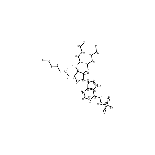 CCCCCOC[C@H]1O[C@@H](n2cnc3c2N=CNC3COS(C)(=O)=O)[C@H](OCCCCC)[C@@H]1OCCCCC